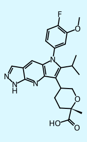 COc1cc(-n2c(C(C)C)c(C3CC[C@@](C)(C(=O)O)OC3)c3nc4[nH]ncc4cc32)ccc1F